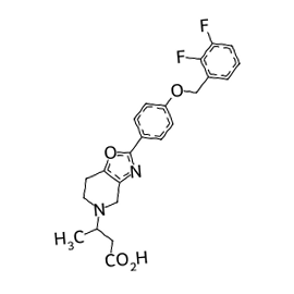 CC(CC(=O)O)N1CCc2oc(-c3ccc(OCc4cccc(F)c4F)cc3)nc2C1